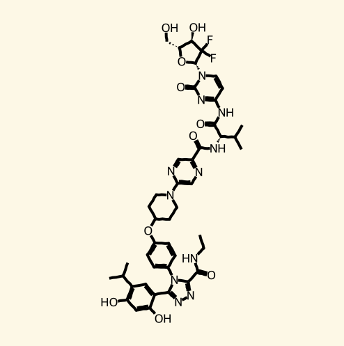 CCNC(=O)c1nnc(-c2cc(C(C)C)c(O)cc2O)n1-c1ccc(OC2CCN(c3cnc(C(=O)N[C@H](C(=O)Nc4ccn([C@@H]5O[C@H](CO)[C@@H](O)C5(F)F)c(=O)n4)C(C)C)cn3)CC2)cc1